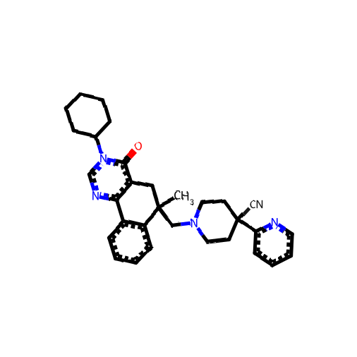 CC1(CN2CCC(C#N)(c3ccccn3)CC2)Cc2c(ncn(C3CCCCC3)c2=O)-c2ccccc21